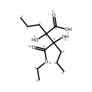 CCCC(O)(C(=O)O)C(O)(CCC)C(=O)OCC